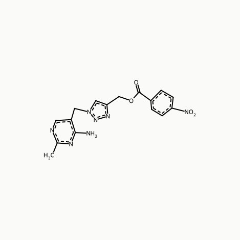 Cc1ncc(Cn2cc(COC(=O)c3ccc([N+](=O)[O-])cc3)nn2)c(N)n1